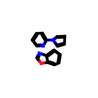 c1ccc(-n2cccc2)nc1.c1ccc2ocnc2c1